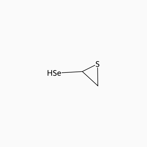 [SeH]C1CS1